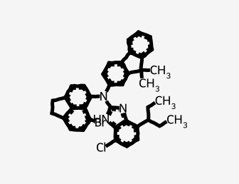 CCC(CC)c1ccc(Cl)c2[nH]c(N(c3ccc4c(c3)C(C)(C)c3ccccc3-4)c3ccc4c5c(ccc(Br)c35)CC4)nc12